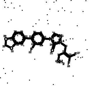 NCC(Cn1ncn(-c2ccc(-c3ccc4c(c3)OCO4)c(F)c2)c1=O)=C(F)F